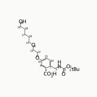 CC(C)(C)OC(=O)N[C@H](C(=O)O)c1ccc(OCCOCCCCCO)cc1